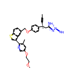 CC#C[C@@H](C/C(N)=N/N=N)c1ccc(OCc2ccc3scc(-c4ncc(OCCOC)cc4C)c3c2)cc1